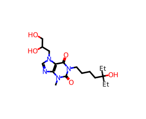 CCC(O)(CC)CCCCn1c(=O)c2c(ncn2CC(O)CO)n(C)c1=O